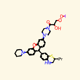 CC(C)C1CNc2ccc(-c3c4ccc(=[N+]5CCN(C(=O)C(O)COOI)CC5)cc-4oc4cc(N5CCCCC5)ccc34)cc2S1